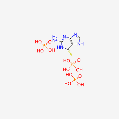 Nc1nc2nc[nH]c2c(=S)[nH]1.O=P(O)(O)O.O=P(O)(O)O.O=P(O)(O)O